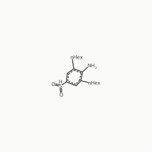 CCCCCCc1cc([SH](=O)=O)cc(CCCCCC)c1N